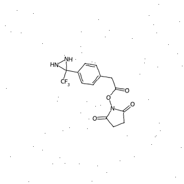 O=C(Cc1ccc(C2(C(F)(F)F)NN2)cc1)ON1C(=O)CCC1=O